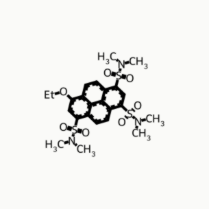 CCOc1cc(S(=O)(=O)N(C)C)c2ccc3c(S(=O)(=O)N(C)C)cc(S(=O)(=O)N(C)C)c4ccc1c2c43